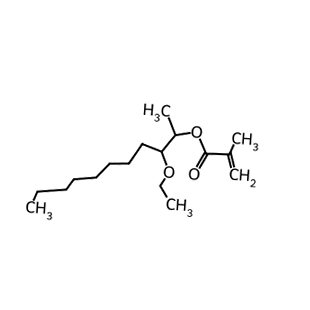 C=C(C)C(=O)OC(C)C(CCCCCCCC)OCC